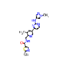 Cc1cc(-c2ccnc(Nc3cnn(C)c3)n2)cnc1CNC(=O)c1cnc(C(C)(C)C)s1